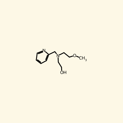 COCCN(CCO)Cc1ccccn1